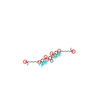 CCC1(CCCCCCCOc2ccc(C(=O)Oc3ccc(OC(=O)c4ccc(OCCCCCCCC5(CC)COC5)c(C(F)(F)F)c4C(F)(F)F)c4c3C3CCC4C3)c(C(F)(F)F)c2C(F)(F)F)COC1